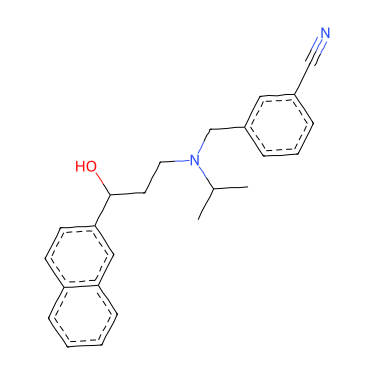 CC(C)N(CCC(O)c1ccc2ccccc2c1)Cc1cccc(C#N)c1